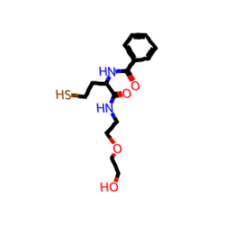 O=C(NC(CCS)C(=O)NCCOCCO)c1ccccc1